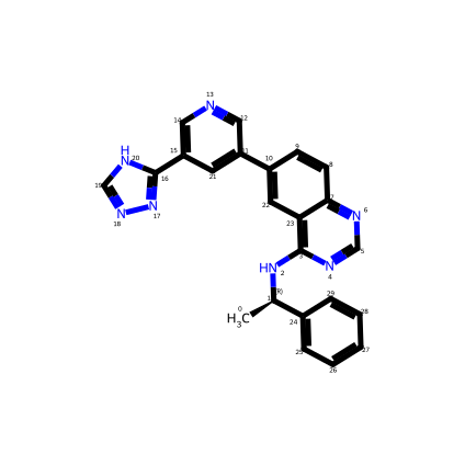 C[C@@H](Nc1ncnc2ccc(-c3cncc(-c4nnc[nH]4)c3)cc12)c1ccccc1